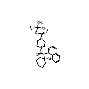 CC(C)(C)OC(=O)N1CCN(C(=O)C(c2cccc3ccccc23)C2(O)CCCCC2)CC1